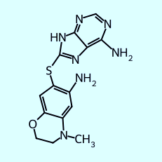 CN1CCOc2cc(Sc3nc4c(N)ncnc4[nH]3)c(N)cc21